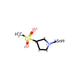 CS(=O)(=O)C1CC[N]([SnH])C1